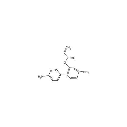 C=CC(=O)Oc1cc(N)ccc1-c1ccc(N)cc1